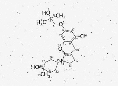 CC(C)(O)COc1ccc(CC2CCN(C3CCC(C)(O)CC3)C2=O)c(Cl)c1